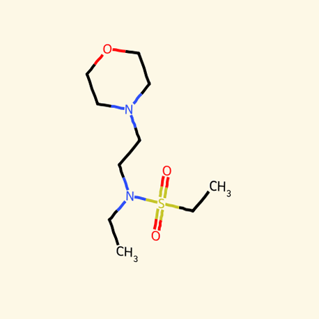 CCN(CCN1CCOCC1)S(=O)(=O)CC